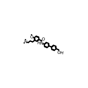 COc1ccc(C(=O)Nc2ccc(-c3ccc(CO)cc3)cc2)cc1CCCN(C)C